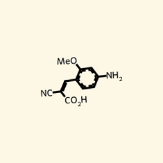 COc1cc(N)ccc1C=C(C#N)C(=O)O